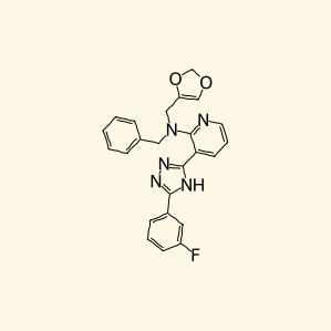 Fc1cccc(-c2nnc(-c3cccnc3N(CC3=COCO3)Cc3ccccc3)[nH]2)c1